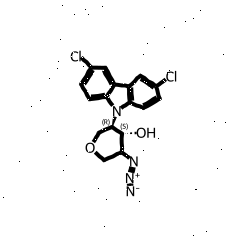 [N-]=[N+]=NC1COC[C@@H](n2c3ccc(Cl)cc3c3cc(Cl)ccc32)[C@@H]1O